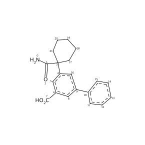 NC(=O)C1(c2cc(C(=O)O)cc(-c3ccccc3)c2)CCCCC1